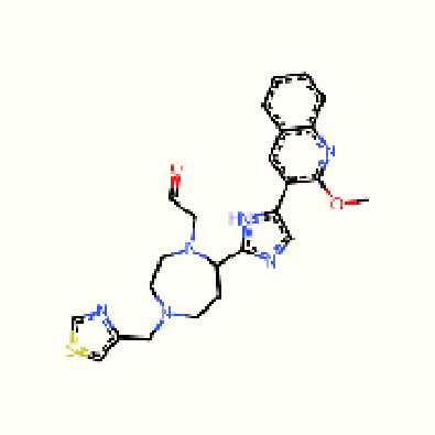 COc1nc2ccccc2cc1-c1cnc(C2CCN(Cc3cscn3)CCN2CC=O)[nH]1